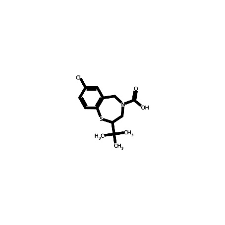 CC(C)(C)C1CN(C(=O)O)Cc2cc(Cl)ccc2S1